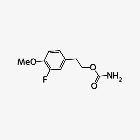 COc1ccc(CCOC(N)=O)cc1F